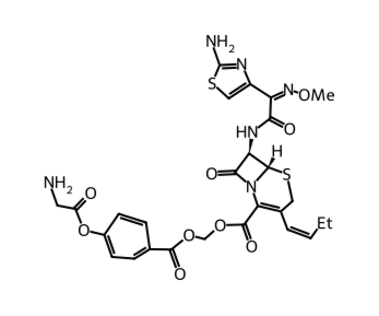 CC/C=C\C1=C(C(=O)OCOC(=O)c2ccc(OC(=O)CN)cc2)N2C(=O)[C@@H](NC(=O)/C(=N\OC)c3csc(N)n3)[C@@H]2SC1